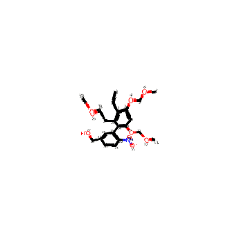 CCc1c(OCOC)cc(OCOC)c(-c2cc(CO)ccc2[N+](=O)[O-])c1CCOC